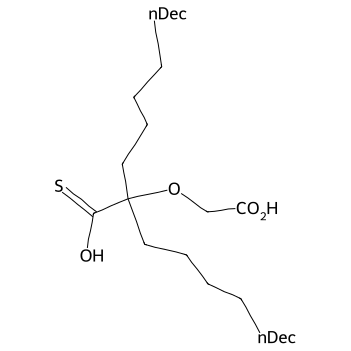 CCCCCCCCCCCCCCC(CCCCCCCCCCCCCC)(OCC(=O)O)C(O)=S